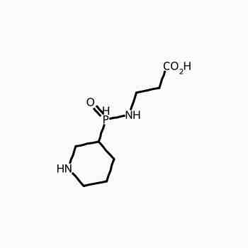 O=C(O)CCN[PH](=O)C1CCCNC1